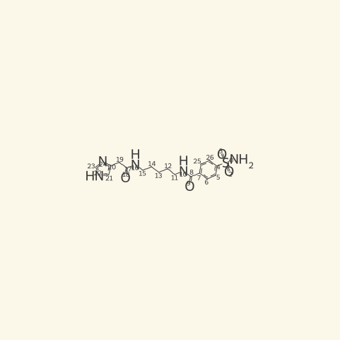 NS(=O)(=O)c1ccc(C(=O)NCCCCCNC(=O)Cc2c[nH]cn2)cc1